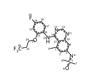 Cc1cc(N=S(C)(C)=O)cc2ncnc(Nc3ccc(F)cc3OCCC(F)(F)F)c12